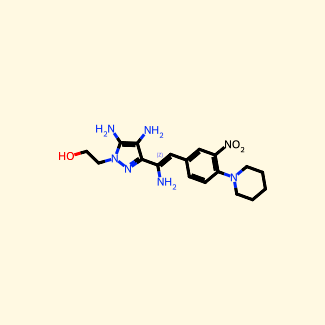 N/C(=C\c1ccc(N2CCCCC2)c([N+](=O)[O-])c1)c1nn(CCO)c(N)c1N